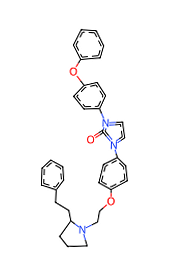 O=c1n(-c2ccc(OCCN3CCCC3CCc3ccccc3)cc2)ccn1-c1ccc(Oc2ccccc2)cc1